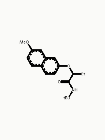 CCC(Oc1ccc2ccc(OC)cc2c1)C(=O)NC(C)(C)C